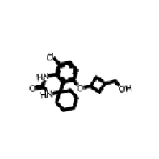 O=C1Nc2c(Cl)ccc(OC3CC(CO)C3)c2C2(CCCCC2)N1